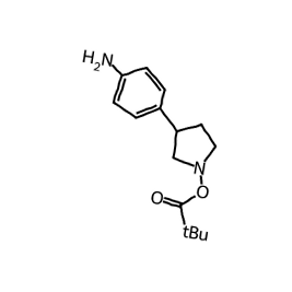 CC(C)(C)C(=O)ON1CCC(c2ccc(N)cc2)C1